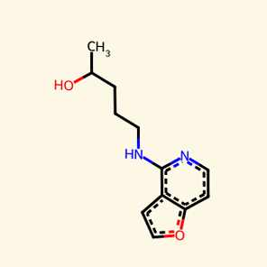 CC(O)CCCNc1nccc2occc12